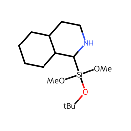 CO[Si](OC)(OC(C)(C)C)C1NCCC2CCCCC21